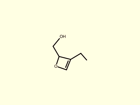 CCC1=COC1CO